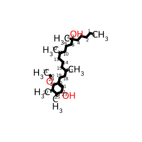 CCCCCC(C)(O)CCCC(C)CCCC(C)CCC1=CC(O)C(C)C(C)C1OCC